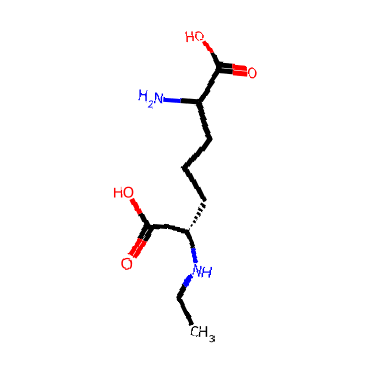 CCN[C@@H](CCCC(N)C(=O)O)C(=O)O